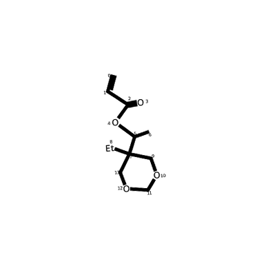 C=CC(=O)OC(C)C1(CC)COCOC1